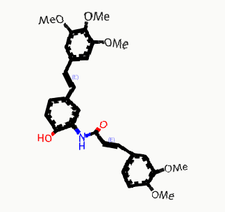 COc1ccc(/C=C/C(=O)Nc2cc(/C=C/c3cc(OC)c(OC)c(OC)c3)ccc2O)cc1OC